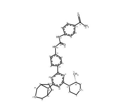 C[C@@H]1COCCN1c1nc(-c2ccc(NC(=O)Nc3ccc(C(N)=O)cc3)cc2)nc(N2C3CCC2COC3)n1